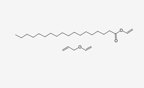 C=CCOC=C.C=COC(=O)CCCCCCCCCCCCCCCCC